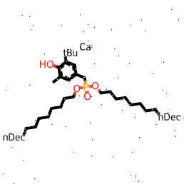 CCCCCCCCCCCCCCCCCCOP(=O)(Cc1cc(C)c(O)c(C(C)(C)C)c1)OCCCCCCCCCCCCCCCCCC.[Ca]